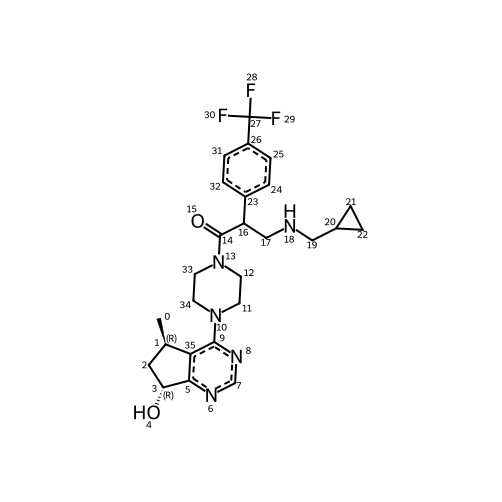 C[C@@H]1C[C@@H](O)c2ncnc(N3CCN(C(=O)C(CNCC4CC4)c4ccc(C(F)(F)F)cc4)CC3)c21